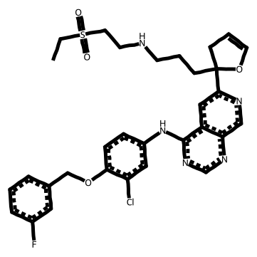 CCS(=O)(=O)CCNCCCC1(c2cc3c(Nc4ccc(OCc5cccc(F)c5)c(Cl)c4)ncnc3cn2)CC=CO1